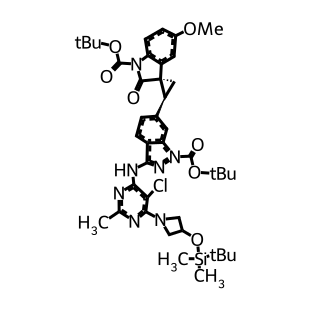 COc1ccc2c(c1)[C@]1(C[C@H]1c1ccc3c(Nc4nc(C)nc(N5CC(O[Si](C)(C)C(C)(C)C)C5)c4Cl)nn(C(=O)OC(C)(C)C)c3c1)C(=O)N2C(=O)OC(C)(C)C